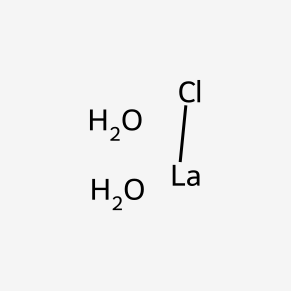 O.O.[Cl][La]